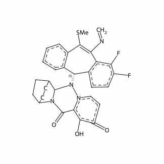 C=NC1=C(SC)c2ccccc2[C@@H](N2C3C4CCC(CC4)N3C(=O)c3c(O)c(=O)ccn32)c2ccc(F)c(F)c21